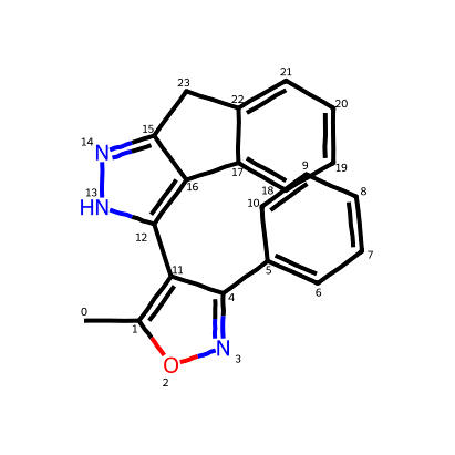 Cc1onc(-c2ccccc2)c1-c1[nH]nc2c1-c1ccccc1C2